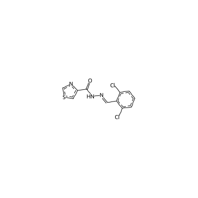 O=C(N/N=C/c1c(Cl)cccc1Cl)c1cscn1